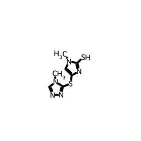 Cn1cc(Sc2nncn2C)nc1S